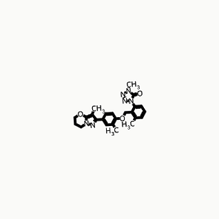 Cc1cc(-c2nn3c(c2C)OCCC3)ccc1OCc1c(C)cccc1-n1nnn(C)c1=O